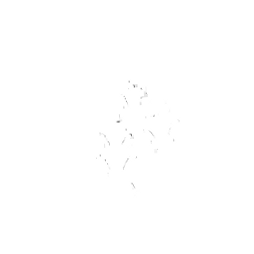 C#Cc1cnc2ccc(-c3c[nH]nc3-c3cc(Cl)ccc3F)nc2c1